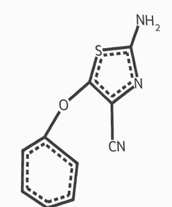 N#Cc1nc(N)sc1Oc1ccccc1